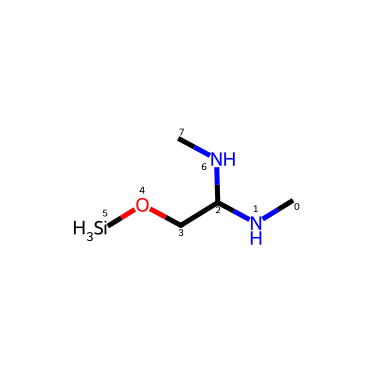 CNC(CO[SiH3])NC